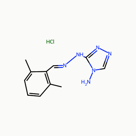 Cc1cccc(C)c1/C=N/Nc1nncn1N.Cl